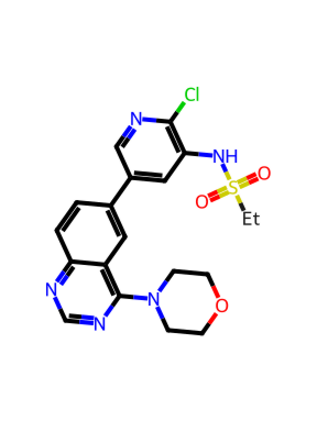 CCS(=O)(=O)Nc1cc(-c2ccc3ncnc(N4CCOCC4)c3c2)cnc1Cl